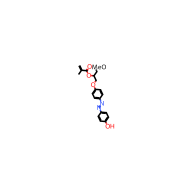 C=C(C)C(=O)OC(COC)COc1ccc(N=Nc2ccc(O)cc2)cc1